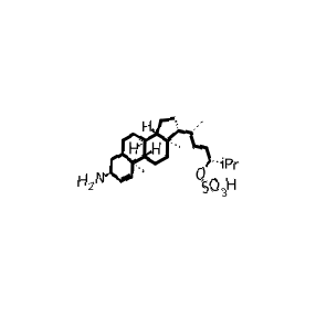 CC(C)[C@@H](CC[C@@H](C)[C@H]1CC[C@H]2[C@@H]3CCC4C[C@H](N)C=C[C@]4(C)[C@H]3CC[C@]12C)OS(=O)(=O)O